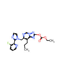 CCCc1c(Cn2ccnc2-c2ncccc2F)ncn2nc(OC(=O)OCC)nc12